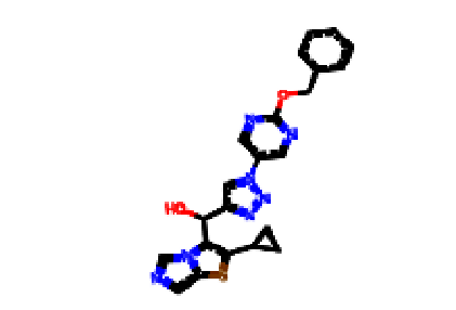 OC(c1cn(-c2cnc(OCc3ccccc3)nc2)nn1)c1c(C2CC2)sc2cncn12